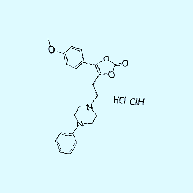 COc1ccc(-c2oc(=O)oc2CCN2CCN(c3ccccc3)CC2)cc1.Cl.Cl